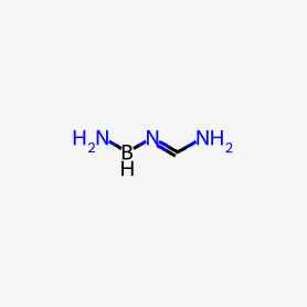 NB/N=C/N